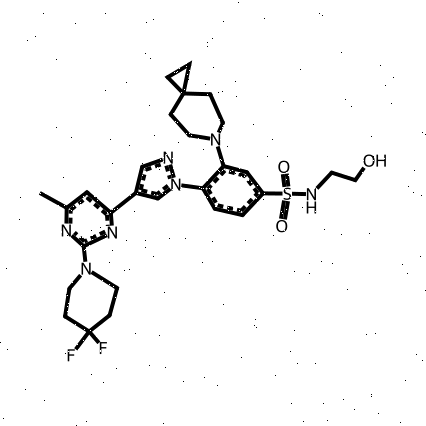 Cc1cc(-c2cnn(-c3ccc(S(=O)(=O)NCCO)cc3N3CCC4(CC3)CC4)c2)nc(N2CCC(F)(F)CC2)n1